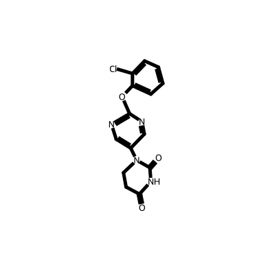 O=C1CCN(c2cnc(Oc3ccccc3Cl)nc2)C(=O)N1